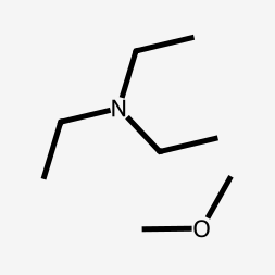 CCN(CC)CC.COC